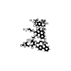 CCCc1nc(C(C)(C)O)c(C(=O)OCc2oc(=O)oc2C)n1Cc1ccc(-c2ccccc2-c2nn[nH]n2)cc1.CCOC(=O)C1=C(COCCN)NC(C)=C(C(=O)OC)C1c1ccccc1Cl.NS(=O)(=O)c1cc2c(cc1Cl)NCNS2(=O)=O